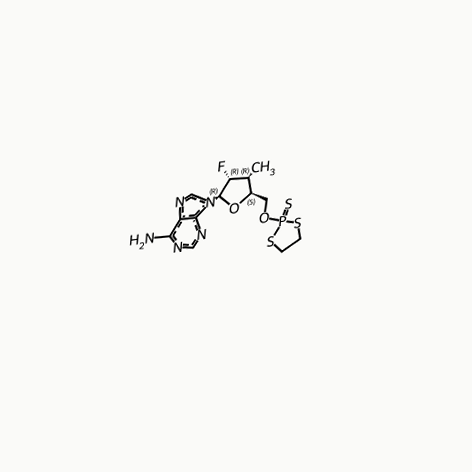 C[C@H]1[C@@H](F)[C@H](n2cnc3c(N)ncnc32)O[C@@H]1COP1(=S)SCCS1